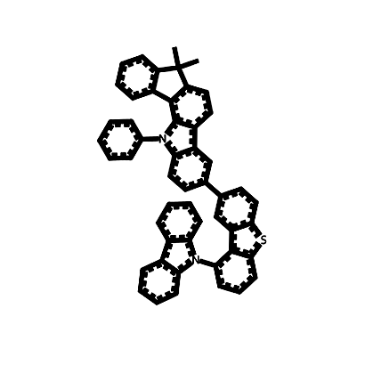 CC1(C)c2ccccc2-c2c1ccc1c3cc(-c4ccc5sc6cccc(-n7c8ccccc8c8ccccc87)c6c5c4)ccc3n(-c3ccccc3)c21